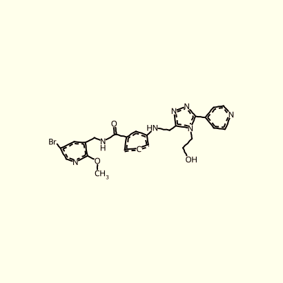 COc1ncc(Br)cc1CNC(=O)c1cccc(NCc2nnc(-c3ccncc3)n2CCO)c1